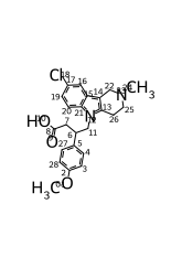 COc1ccc(C(CC(=O)O)Cn2c3c(c4cc(Cl)ccc42)CN(C)CC3)cc1